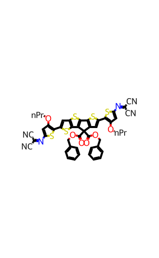 CCCOc1cc(N=C(C#N)C#N)sc1-c1cc2c(s1)-c1sc3cc(-c4sc(N=C(C#N)C#N)cc4OCCC)sc3c1C2(C(=O)OCc1ccccc1)C(=O)OCc1ccccc1